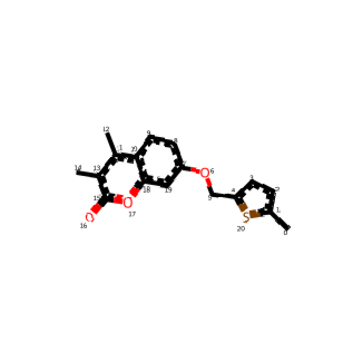 Cc1ccc(COc2ccc3c(C)c(C)c(=O)oc3c2)s1